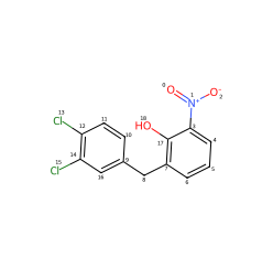 O=[N+]([O-])c1cccc(Cc2ccc(Cl)c(Cl)c2)c1O